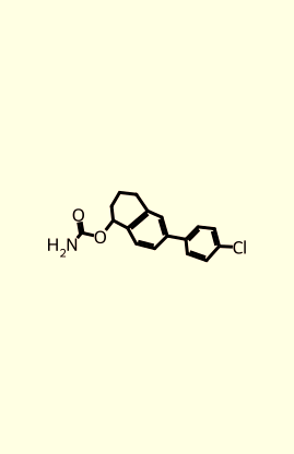 NC(=O)OC1CCCc2cc(-c3ccc(Cl)cc3)ccc21